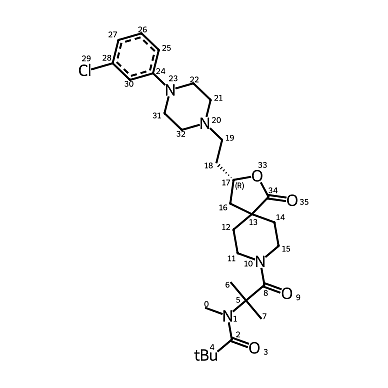 CN(C(=O)C(C)(C)C)C(C)(C)C(=O)N1CCC2(CC1)C[C@H](CCN1CCN(c3cccc(Cl)c3)CC1)OC2=O